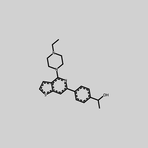 CCN1CCN(c2nc(-c3ccc(C(C)O)cc3)cc3sccc23)CC1